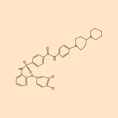 O=C(Nc1ccc(N2CCC(N3CCCCC3)CC2)cc1)c1ccc(S(=O)(=O)Nc2ccccc2Oc2ccc(Cl)c(Cl)c2)cc1